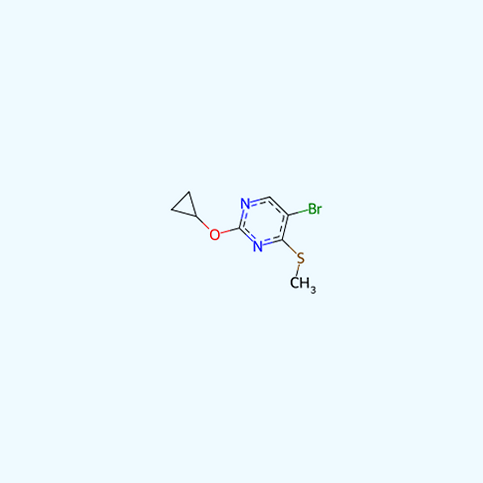 CSc1nc(OC2CC2)ncc1Br